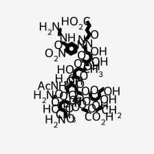 C=CCO[C@H](COP(=O)(O)OC1OC(C(N)=O)C(C)(O)C(OC(N)=O)C1OC1OC(COC2OC(CO)C(O)C(O)C2O)C(OC2OC(C)C(OC3OC(c4nc(C(=O)CCC(=O)O)nn4-c4ccc([N+](=O)[O-])c(C(=O)NCCN)c4)C(O)C(O)C3O)C(O)C2C)C(O)C1NC(C)=O)C(=O)O